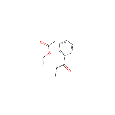 CCC(=O)c1ccccc1.CCOC(C)=O